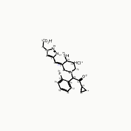 Cl.O=C(O)Cn1cc(/C=C2/CN(C(C(=O)C3CC3)c3ccccc3F)CCC2S)nn1